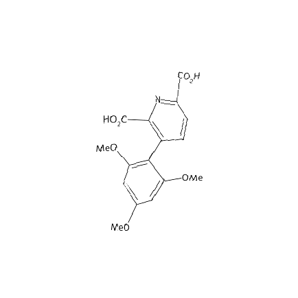 COc1cc(OC)c(-c2ccc(C(=O)O)nc2C(=O)O)c(OC)c1